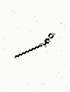 O=C(NCCCCCCCCCCCCCCCCI)c1ccc(N2CCNCC2)nc1